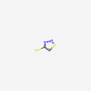 Sc1csnn1